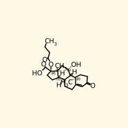 CCCC(=O)O[C@]1(C(=O)O)CC[C@H]2[C@@H]3CCC4=CC(=O)CC[C@]4(C)[C@H]3[C@@H](O)C[C@@]21C